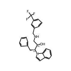 O[C@H](CNCc1cccc(C(F)(F)F)c1)[C@H](Cc1ccccc1)n1ccc2ccccc21